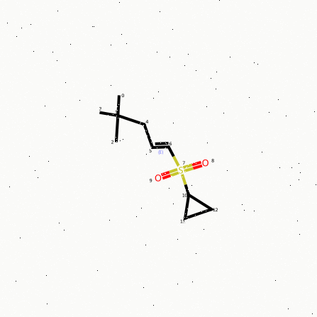 CC(C)(C)C/C=C/S(=O)(=O)C1CC1